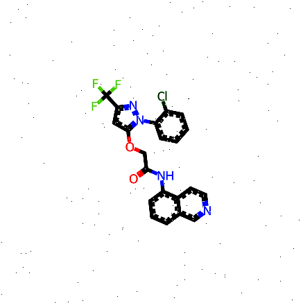 O=C(COc1cc(C(F)(F)F)nn1-c1ccccc1Cl)Nc1cccc2cnccc12